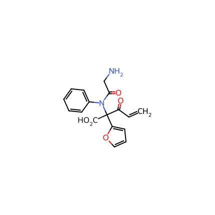 C=CC(=O)C(C(=O)O)(c1ccco1)N(C(=O)CN)c1ccccc1